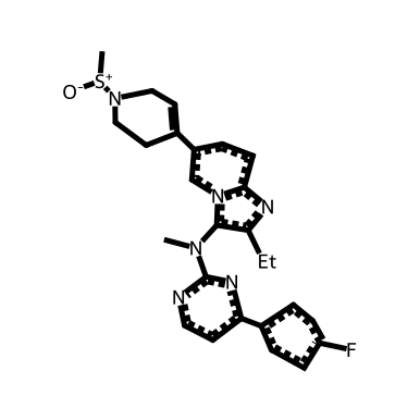 CCc1nc2ccc(C3=CCN([S+](C)[O-])CC3)cn2c1N(C)c1nccc(-c2ccc(F)cc2)n1